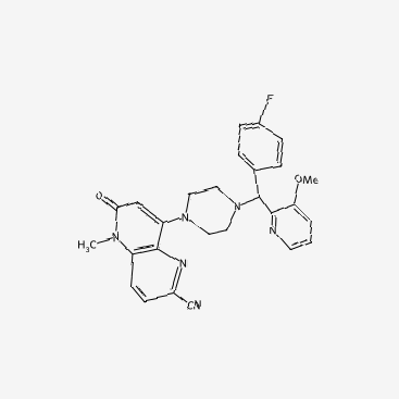 COc1cccnc1C(c1ccc(F)cc1)N1CCN(c2cc(=O)n(C)c3ccc(C#N)nc23)CC1